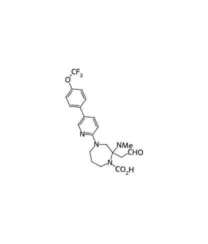 CNC1(CC=O)CN(c2ccc(-c3ccc(OC(F)(F)F)cc3)cn2)CCCN1C(=O)O